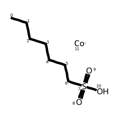 CCCCCCCS(=O)(=O)O.[Co]